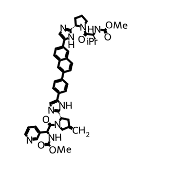 C=C1C[C@@H](c2ncc(-c3ccc(-c4ccc5cc(-c6cnc([C@@H]7CCCN7C(=O)[C@@H](NC(=O)OC)C(C)C)[nH]6)ccc5c4)cc3)[nH]2)N(C(=O)C(NC(=O)OC)c2cccnc2)C1